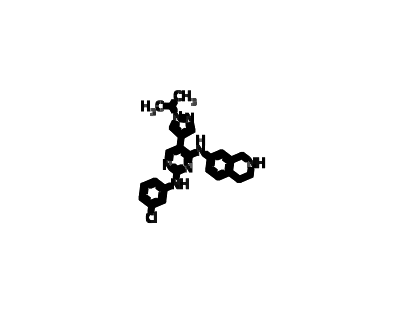 CC(C)n1cc(-c2cnc(Nc3cccc(Cl)c3)nc2Nc2ccc3c(c2)CNCC3)cn1